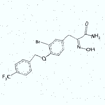 NC(=O)C(Cc1ccc(OCc2ccc(C(F)(F)F)cc2)c(Br)c1)=NO